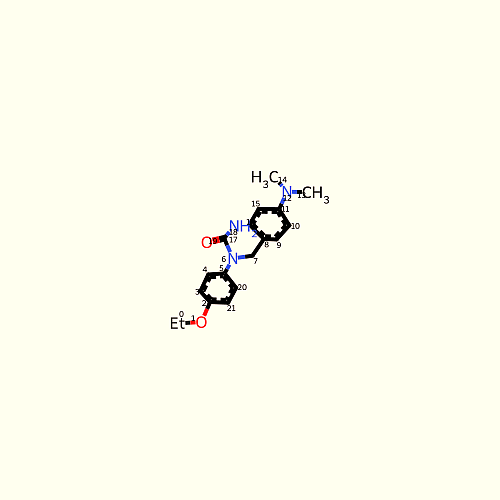 CCOc1ccc(N(Cc2ccc(N(C)C)cc2)C(N)=O)cc1